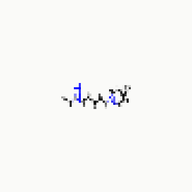 CCNCCCCCN1CCC(C)CC1